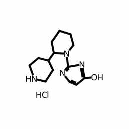 Cl.Oc1ccnc(N2CCCCC2C2CCNCC2)n1